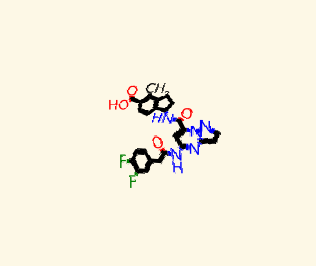 Cc1c(C(=O)O)ccc2c1CCC2NC(=O)c1cc(NC(=O)Cc2ccc(F)c(F)c2)nc2ccnn12